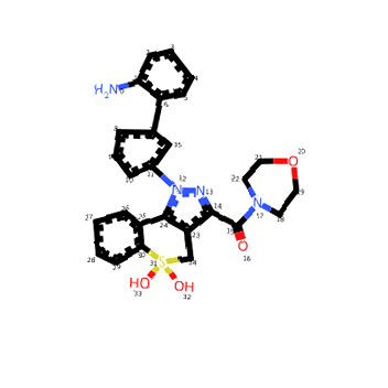 Nc1ccccc1-c1cccc(-n2nc(C(=O)N3CCOCC3)c3c2-c2ccccc2S(O)(O)C3)c1